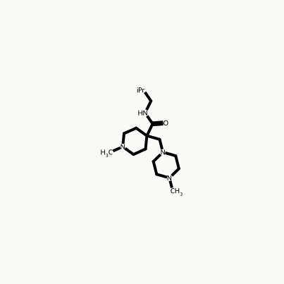 CC(C)CNC(=O)C1(CN2CCN(C)CC2)CCN(C)CC1